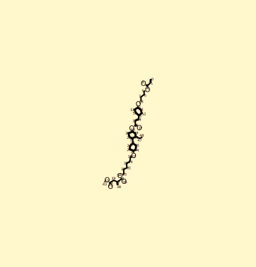 C=CC(=O)OCCCCOc1ccc(/C=C/C(=O)Oc2ccc(-c3ccc(OCCCCCCOC(=O)C(=C)CC(=O)OC)cc3)c(CC)c2)cc1